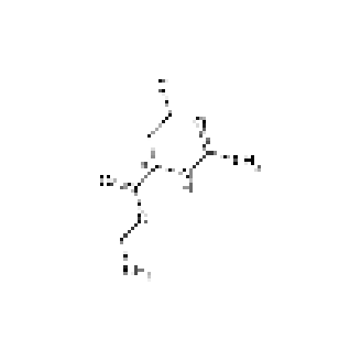 CCOC(=O)[C@H](CCCl)NC(C)=O